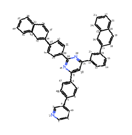 c1cncc(-c2ccc(-c3cc(-c4cccc(-c5ccc6ccccc6c5)c4)nc(-c4ccc(-c5ccc6ccccc6c5)cc4)n3)cc2)c1